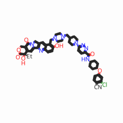 CC[C@@]1(O)C(=O)OCc2c1cc1n(c2=O)Cc2cc3c(CN4CCN(CC5CCN(c6ccc(C(=O)N[C@H]7CC[C@H](Oc8ccc(C#N)c(Cl)c8)CC7)nn6)CC5)CC4)c(O)ccc3nc2-1